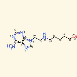 Nc1ncnc2c1ncn2CCNCCCCCO